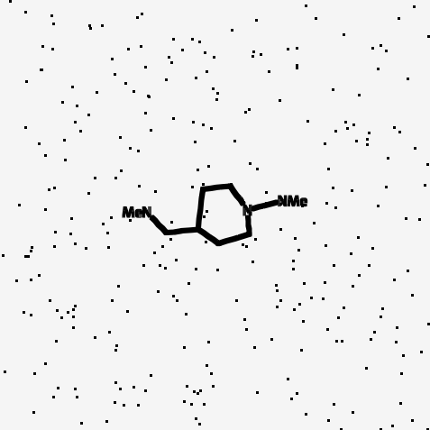 CNCC1CCN(NC)CC1